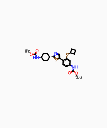 CC(C)OC(=O)N[C@H]1CC[C@H](c2ncc(-c3ccc(NC(=O)OC(C)(C)C)cc3SC3CCC3)s2)CC1